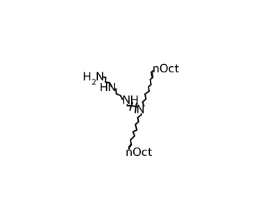 CCCCCCCCC=CCCCCCCCCN(CCCCCCCCC=CCCCCCCCC)C(C)(C)C(C)(C)CNCCCCNCCCN